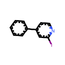 Ic1cc(-c2ccccc2)ccn1